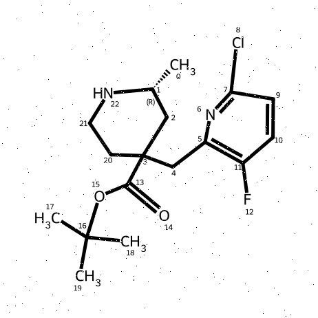 C[C@@H]1CC(Cc2nc(Cl)ccc2F)(C(=O)OC(C)(C)C)CCN1